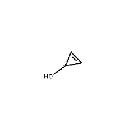 O[C]1C=C1